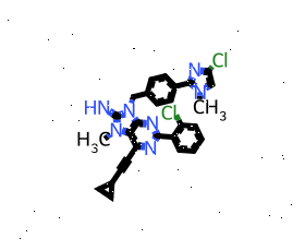 Cn1cc(Cl)nc1-c1ccc(Cn2c(=N)n(C)c3c(C#CC4CC4)nc(-c4ccccc4Cl)nc32)cc1